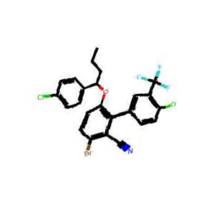 CCCC(Oc1ccc(Br)c(C#N)c1-c1ccc(Cl)c(C(F)(F)F)c1)c1ccc(Cl)cc1